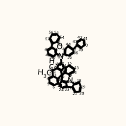 CC1(C)c2ccccc2C2(c3ccccc3-n3c4ccccc4c4cccc2c43)c2ccc(N(c3ccc(-c4ccccc4)cc3)c3cccc4c3oc3ccccc34)cc21